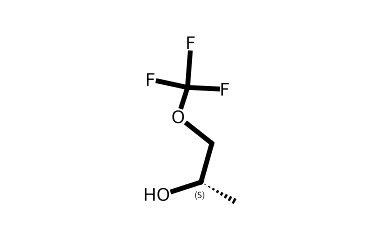 C[C@H](O)COC(F)(F)F